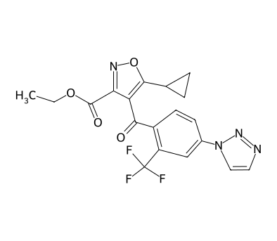 CCOC(=O)c1noc(C2CC2)c1C(=O)c1ccc(-n2ccnn2)cc1C(F)(F)F